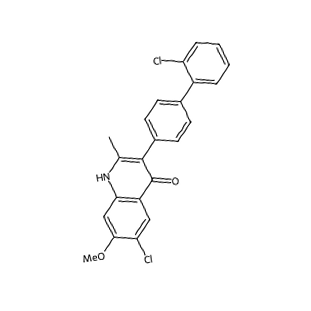 COc1cc2[nH]c(C)c(-c3ccc(-c4ccccc4Cl)cc3)c(=O)c2cc1Cl